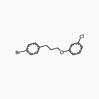 Clc1cccc(OCCCc2ccc(Br)cc2)c1